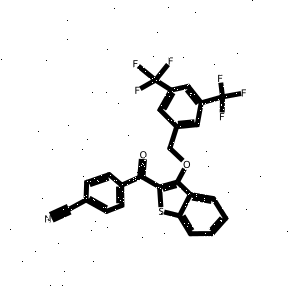 N#Cc1ccc(C(=O)c2sc3ccccc3c2OCc2cc(C(F)(F)F)cc(C(F)(F)F)c2)cc1